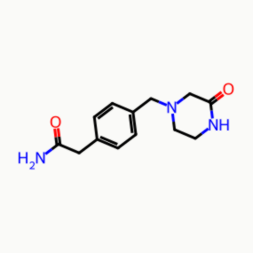 NC(=O)Cc1ccc(CN2CCNC(=O)C2)cc1